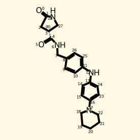 O=C1C[C@@H](C(=O)NCc2ccc(Nc3ccc(N4CCCCC4)cc3)cc2)CN1